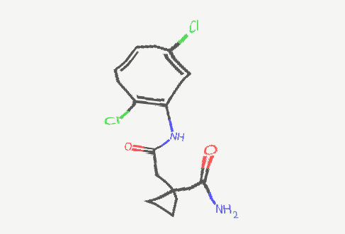 NC(=O)C1(C(=O)Nc2cc(Cl)ccc2Cl)CC1